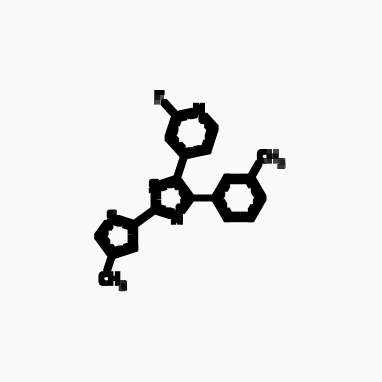 Cc1cccc(-c2nc(-c3cc(C)cs3)sc2-c2ccnc(F)c2)c1